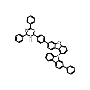 c1ccc(C2=NC(c3ccccc3)NC(c3ccc(-c4ccc5c(c4)oc4cccc(-n6c7ccccc7c7ccc(-c8ccccc8)cc76)c45)cc3)=N2)cc1